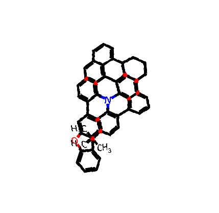 CC(C)(C)c1ccc(-c2ccccc2)c(N(c2ccccc2-c2ccc3c(c2)oc2ccccc23)c2ccccc2-c2cccc3cccc(C4CCCCC4)c23)c1